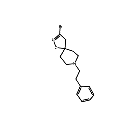 BrC1=NOC2(CCN(CCc3ccccc3)CC2)C1